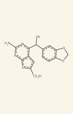 CCOC(=O)c1cc2c(C(C#N)c3ccc4c(c3)OCO4)nc(N)nc2s1